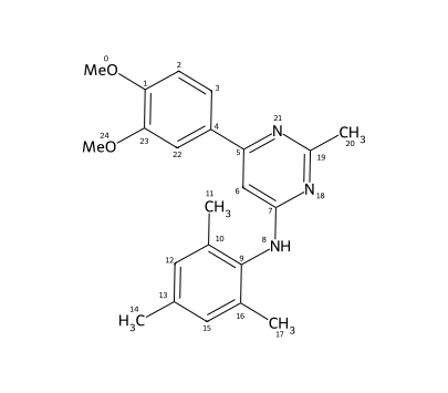 COc1ccc(-c2cc(Nc3c(C)cc(C)cc3C)nc(C)n2)cc1OC